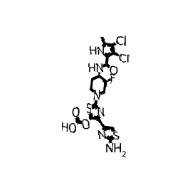 Cc1[nH]c(C(=O)N[C@@H]2CCN(c3nc(-c4csc(N)n4)c(OC(=O)O)s3)C[C@@H]2F)c(Cl)c1Cl